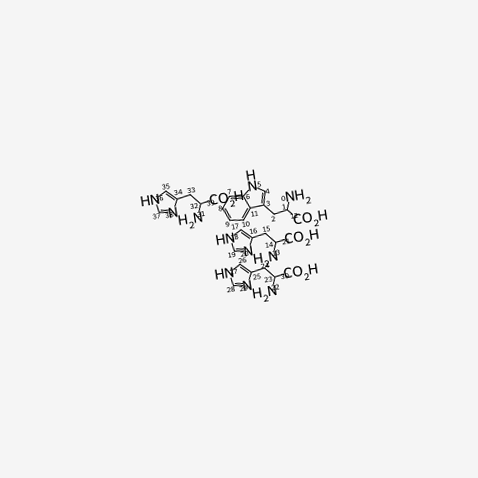 NC(Cc1c[nH]c2ccccc12)C(=O)O.NC(Cc1c[nH]cn1)C(=O)O.NC(Cc1c[nH]cn1)C(=O)O.NC(Cc1c[nH]cn1)C(=O)O